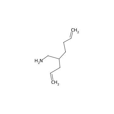 C=CCCC(CN)CC=C